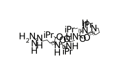 CC(C)C[C@H](NC(=O)[C@@H]1CCCN1C(C)C)C(=O)NCC(=O)N[C@H](C(=O)N[C@@H](CCCNC(=N)N)C(=O)C(C)C)C(C)C